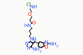 Nc1nc2cc(-c3nn(CCCCNC(=O)CCOCCNCl)c4ncnc(N)c34)ccc2o1